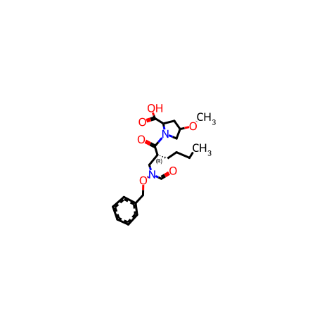 CCCC[C@H](CN(C=O)OCc1ccccc1)C(=O)N1CC(OC)CC1C(=O)O